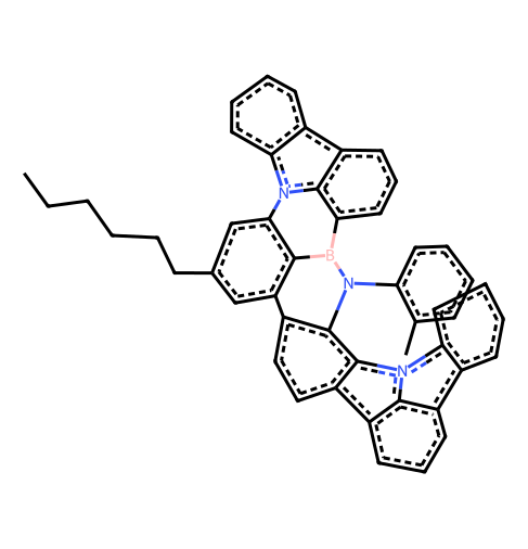 CCCCCCc1cc2c3c(c1)-n1c4ccccc4c4cccc(c41)B3N(c1ccccc1C)c1c-2ccc2c3cccc4c5ccccc5n(c12)c43